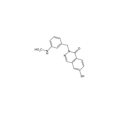 O=C(O)Nc1cccc(Cn2ncc3cc(S)ccc3c2=O)c1